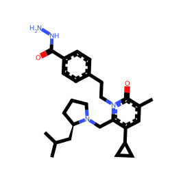 Cc1cc(C2CC2)c(CN2CCC[C@@H]2CC(C)C)n(CCc2ccc(C(=O)NN)cc2)c1=O